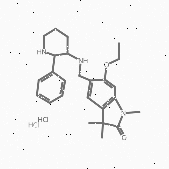 CCOc1cc2c(cc1CNC1CCCNC1c1ccccc1)C(C)(C)C(=O)N2C.Cl.Cl